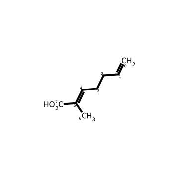 C=CCCC=C(C)C(=O)O